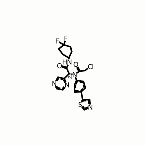 O=C(NC1CCC(F)(F)CC1)[C@H](c1cnccn1)N(C(=O)CCl)c1ccc(-c2cncs2)cc1